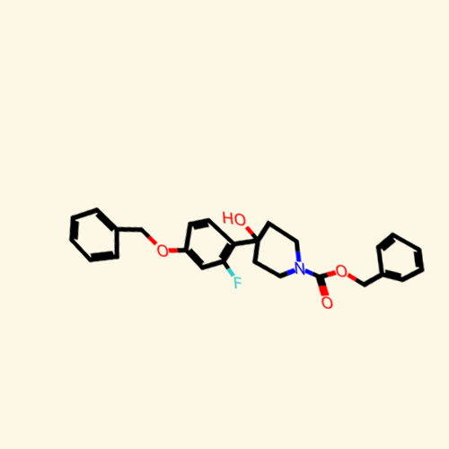 O=C(OCc1ccccc1)N1CCC(O)(c2ccc(OCc3ccccc3)cc2F)CC1